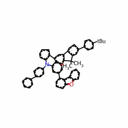 CC(C)(C)c1ccc(-c2ccc3c(c2)C(C)(C)c2ccc(-c4ccccc4N(c4ccc(-c5ccccc5)cc4)c4cccc(-c5cccc6oc7ccccc7c56)c4)cc2-3)cc1